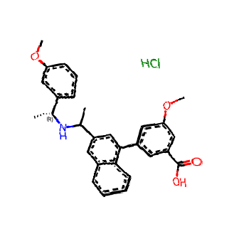 COc1cc(C(=O)O)cc(-c2cc(C(C)N[C@H](C)c3cccc(OC)c3)cc3ccccc23)c1.Cl